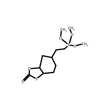 CO[Si](CCC1CCC2SC(=S)OC2C1)(OC)OC